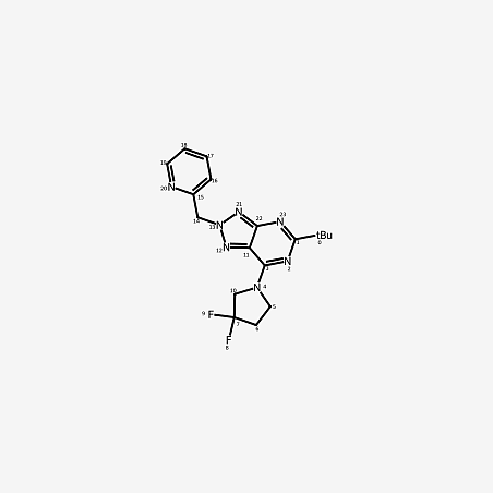 CC(C)(C)c1nc(N2CCC(F)(F)C2)c2nn(Cc3ccccn3)nc2n1